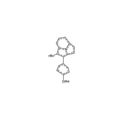 CCCCc1c(-c2ccc(OC)cc2)c2ccc3cccc1n32